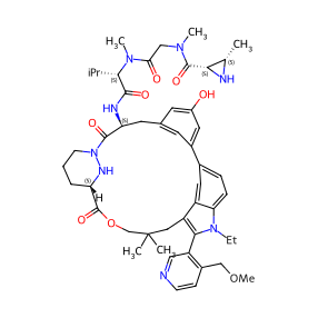 CCn1c(-c2cnccc2COC)c2c3cc(ccc31)-c1cc(O)cc(c1)C[C@H](NC(=O)[C@H](C(C)C)N(C)C(=O)CN(C)C(=O)[C@H]1N[C@H]1C)C(=O)N1CCC[C@H](N1)C(=O)OCC(C)(C)C2